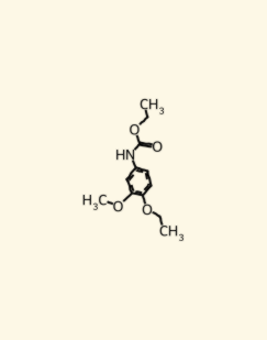 CCOC(=O)Nc1ccc(OCC)c(OC)c1